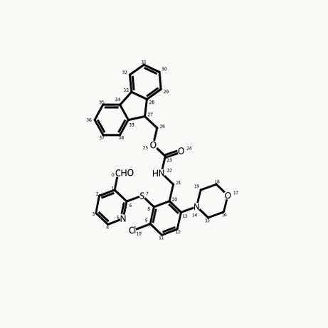 O=Cc1cccnc1Sc1c(Cl)ccc(N2CCOCC2)c1CNC(=O)OCC1c2ccccc2-c2ccccc21